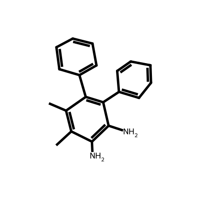 Cc1c(C)c(-c2ccccc2)c(-c2ccccc2)c(N)c1N